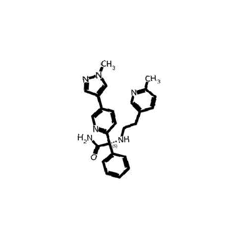 Cc1ccc(CCN[C@@](C(N)=O)(c2ccccc2)c2ccc(-c3cnn(C)c3)cn2)cn1